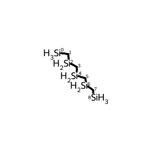 [SiH3]C[SiH2]C[SiH2]C[SiH2]C[SiH3]